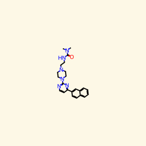 CN(C)C(=O)NCCN1CCN(c2nccc(-c3ccc4ccccc4c3)n2)CC1